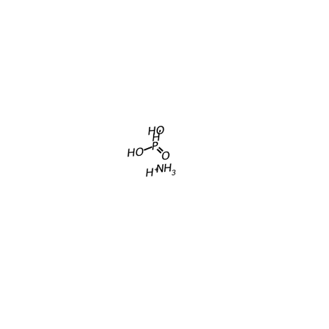 N.O=[PH](O)O.[H+]